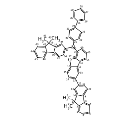 CC1(C)c2ccccc2-c2ccc(-c3ccc4oc5c(N(c6ccc(-c7ccccc7)cc6)c6ccc7c(c6)C(C)(C)c6ccccc6-7)cccc5c4c3)cc21